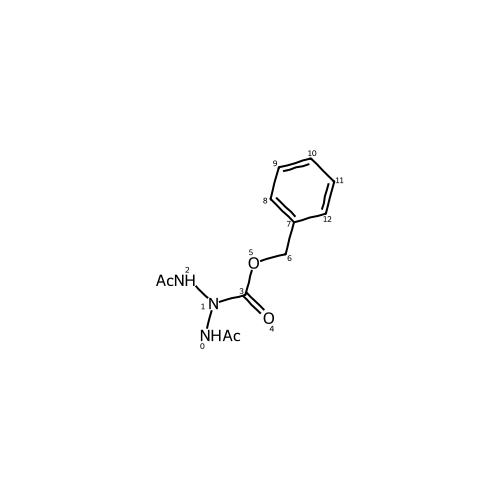 CC(=O)NN(NC(C)=O)C(=O)OCc1ccccc1